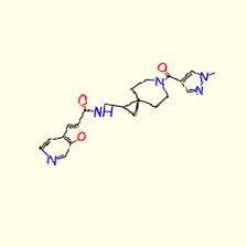 Cn1cc(C(=O)N2CCC3(CC2)CC3CNC(=O)c2cc3ccncc3o2)cn1